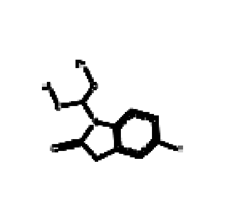 CCOC(OCC)N1C(=O)Cc2cc(F)ccc21